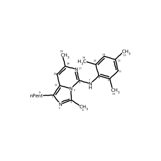 CCCCCc1nc(C)n2c(Nc3c(C)cc(C)cc3C)nc(C)cc12